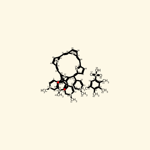 CN1C=CC(c2c(C3=CCN(C)C=C3)c3c(C4=CCN(C)C=C4)c4nc(cc5ccc(cc6nc(cc2n3C2=CCN(C)C=C2)C=C6)[nH]5)C=C4)=CC1.Cc1cc(S(=O)(=O)O)c(C)c(C)c1C